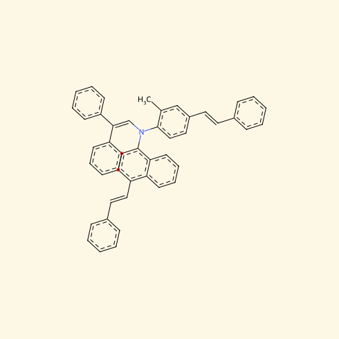 Cc1cc(C=Cc2ccccc2)ccc1N(C=C(c1ccccc1)c1ccccc1)c1ccc(C=Cc2ccccc2)c2ccccc12